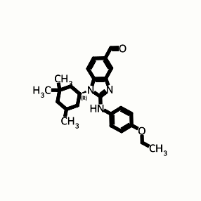 CCOc1ccc(Nc2nc3cc(C=O)ccc3n2[C@@H]2CC(C)CC(C)(C)C2)cc1